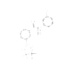 COc1cccc(NC(=O)c2ccc(C)c(B3OC(C)(C)C(C)(C)O3)c2)c1